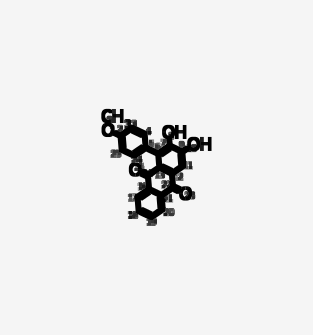 COc1ccc(-c2c(O)c(O)cc3c2C(=O)c2ccccc2C3=O)cc1